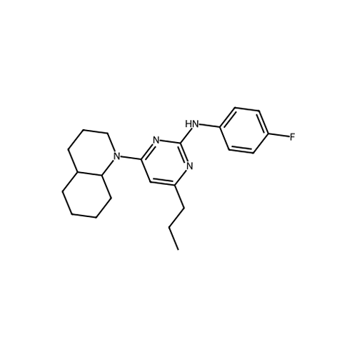 CCCc1cc(N2CCCC3CCCCC32)nc(Nc2ccc(F)cc2)n1